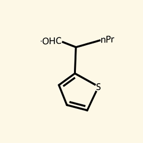 CCCC([C]=O)c1cccs1